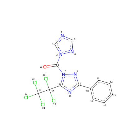 O=C(n1cncn1)n1nc(-c2ccccc2)nc1C(Cl)(Cl)C(Cl)(Cl)Cl